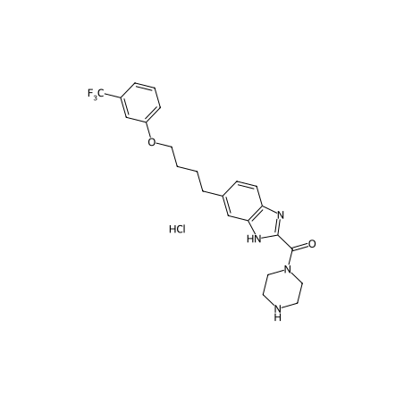 Cl.O=C(c1nc2ccc(CCCCOc3cccc(C(F)(F)F)c3)cc2[nH]1)N1CCNCC1